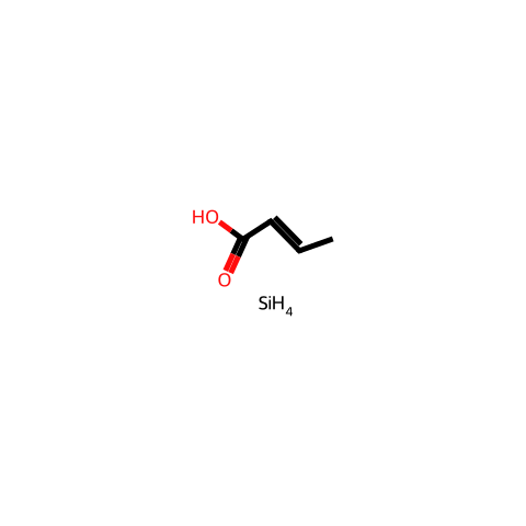 CC=CC(=O)O.[SiH4]